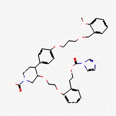 COc1ccccc1COCCCOc1ccc(C2CCN(C(=O)O)CC2OCCOc2ccccc2CCOC(=O)n2ccnc2)cc1